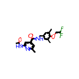 CC(=O)Nc1cc(C(=O)NCc2cc(C)c(OCC(F)F)c(C)c2)cc(C)n1